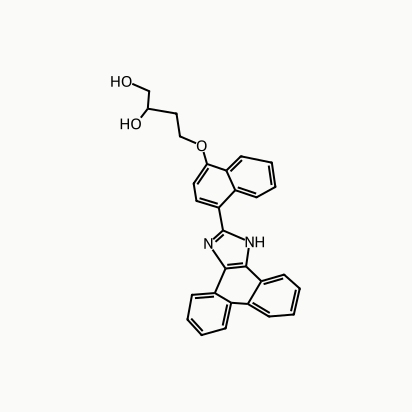 OCC(O)CCOc1ccc(-c2nc3c4ccccc4c4ccccc4c3[nH]2)c2ccccc12